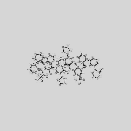 Cc1ccccc1-c1cccc(-c2cccc(N(c3ccc(C(C)(C)C)cc3)c3cc(C4CCCC4)c4ccc5c(N(c6ccc(C(C)(C)C)cc6)c6cccc7c6oc6c(-c8ccccc8C)cccc67)cc(C6CCCC6)c6ccc3c4c65)c2O)c1